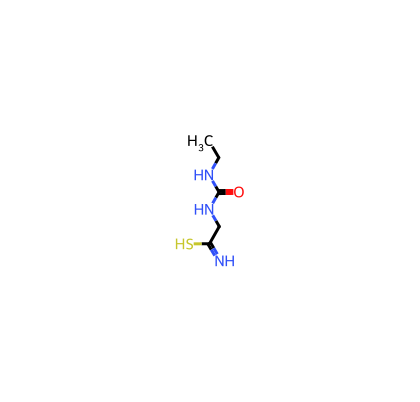 CCNC(=O)NCC(=N)S